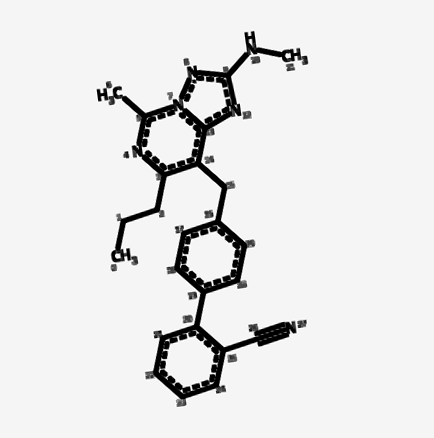 CCCc1nc(C)n2nc(NC)nc2c1Cc1ccc(-c2ccccc2C#N)cc1